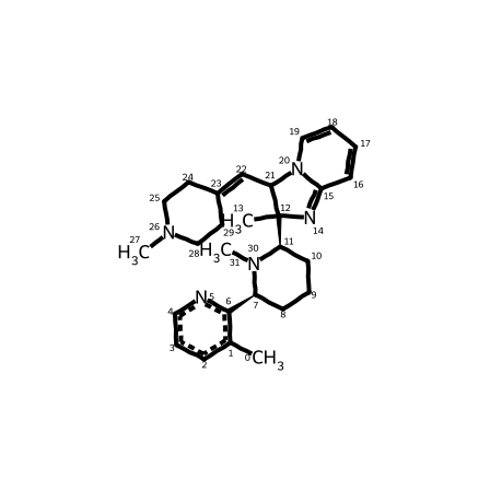 Cc1cccnc1[C@@H]1CCC[C@H](C2(C)N=C3C=CC=CN3C2C=C2CCN(C)CC2)N1C